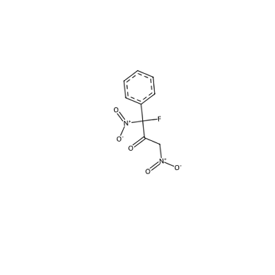 O=C(C[N+](=O)[O-])C(F)(c1ccccc1)[N+](=O)[O-]